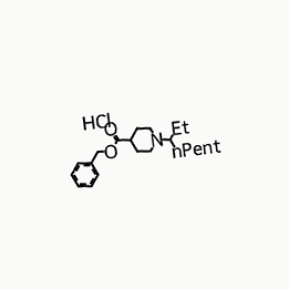 CCCCCC(CC)N1CCC(C(=O)OCc2ccccc2)CC1.Cl